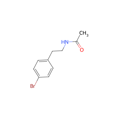 CC(=O)NCCc1ccc(Br)cc1